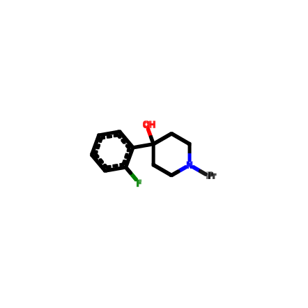 CC(C)N1CCC(O)(c2ccccc2F)CC1